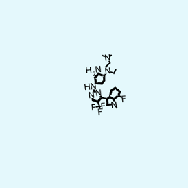 CCN(CCN(C)C)c1ccc(Nc2ncc(C(F)(F)F)c(-c3cn(C)c4c(F)cccc34)n2)cc1N